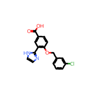 O=C(O)c1ccc(OCc2cccc(Cl)c2)c(-c2ncc[nH]2)c1